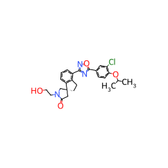 CC(C)Oc1ccc(-c2nc(-c3cccc4c3CC[C@@]43CC(=O)N(CCO)C3)no2)cc1Cl